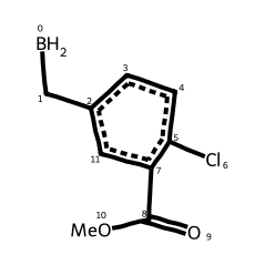 BCc1ccc(Cl)c(C(=O)OC)c1